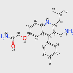 Cc1ccc(-c2c(CN)c(CC(C)C)nc3ccc(OCC(N)=O)cc23)cc1